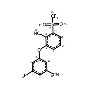 N#Cc1cc(F)cc(Oc2cccc(S(=O)(=O)C(F)(F)F)c2C#N)c1